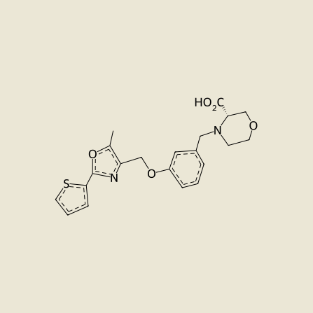 Cc1oc(-c2cccs2)nc1COc1cccc(CN2CCOC[C@H]2C(=O)O)c1